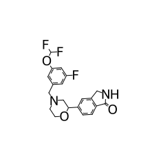 O=C1NCc2cc(C3CN(Cc4cc(F)cc(OC(F)F)c4)CCO3)ccc21